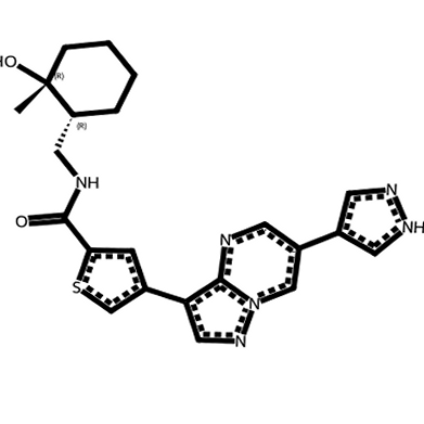 C[C@@]1(O)CCCC[C@@H]1CNC(=O)c1cc(-c2cnn3cc(-c4cn[nH]c4)cnc23)cs1